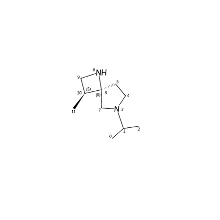 CC(C)N1CC[C@@]2(C1)NC[C@@H]2C